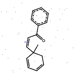 CC1(/C=C\C(=O)c2ccccc2)C=CC=CC1